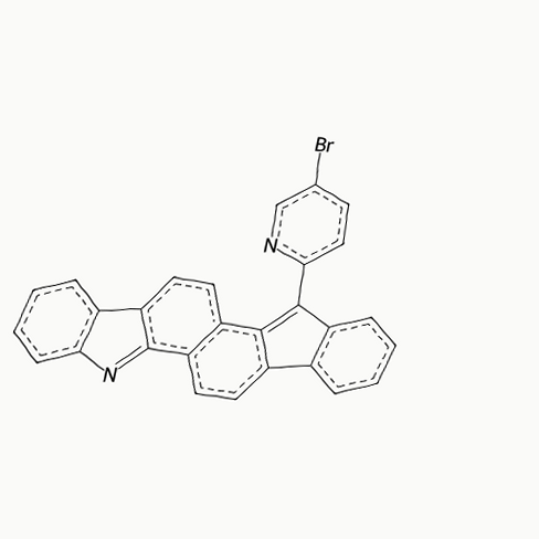 Brc1ccc(C2=c3c(ccc4c5c(ccc34)-c3ccccc3N=5)-c3ccccc32)nc1